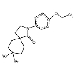 CC(C)C1(O)CCC2(CCN(c3ccc(OCC(F)(F)F)cc3)C2=O)CC1